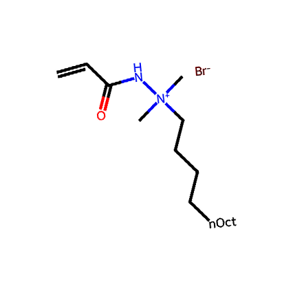 C=CC(=O)N[N+](C)(C)CCCCCCCCCCCC.[Br-]